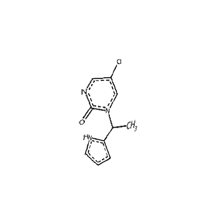 CC(c1ccc[nH]1)n1cc(Cl)cnc1=O